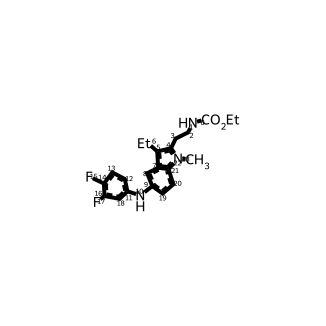 CCOC(=O)NCCc1c(CC)c2cc(Nc3ccc(F)c(F)c3)ccc2n1C